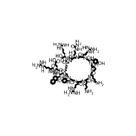 N=C(N)NCCCC1N=C(O)[C@@H](Cc2ccc(O)cc2)N=C(O)C(NC(=O)[C@@H](Cc2ccc3ccccc3c2)NC(=O)[C@H](CCC(=O)O)NC(=O)[C@H](N)CCCNC(=N)N)CSSC[C@H](C(=O)N[C@H](CCCNC(=N)N)C(=O)O)N=C(O)[C@@H](CCCNC(N)=O)N=C(O)[C@@H](CCCNC(=N)N)N=C(O)[C@@H](Cc2ccc(O)cc2)N=C(O)[C@@H]2CCCN2C(=O)C(CCCCN)N=C(O)C(CCCCN)N=C1O